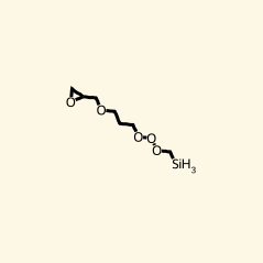 [SiH3]COOOCCCOCC1CO1